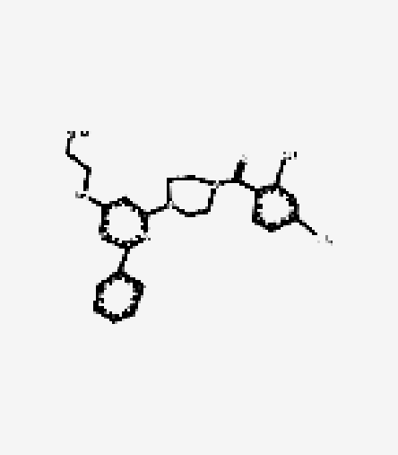 CC(=O)NCCNc1cc(N2CCN(C(=O)c3ccc(C)cc3O)CC2)nc(-c2ccccc2)n1